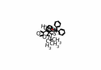 C[SiH](C)C1(C(O)c2ccoc2)C(=O)N(C(C)(C)C)C1SC(c1ccccc1)(c1ccccc1)c1ccccc1